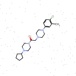 Cc1cc(N2CCN(CC(=O)N3CCN(C4CCCC4)CC3)CC2)ccc1Cl